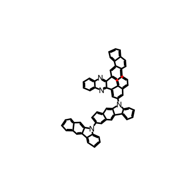 c1ccc2cc3c(cc2c1)c1ccccc1n3-c1ccc2cc3c(cc2c1)c1ccccc1n3-c1cc(-c2nc3ccccc3nc2-c2ccc3ccc4ccccc4c3c2)c2ccccc2c1